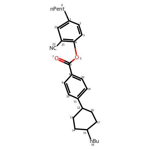 CCCCCc1ccc(OC(=O)c2ccc(C3CCC(CCCC)CC3)cc2)c(C#N)c1